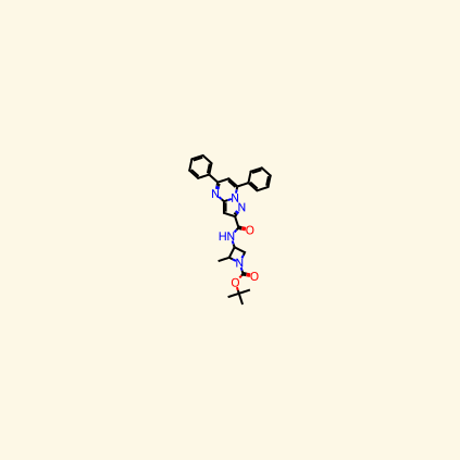 CC1C(NC(=O)c2cc3nc(-c4ccccc4)cc(-c4ccccc4)n3n2)CN1C(=O)OC(C)(C)C